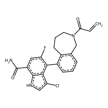 C=CC(=O)N1CCCc2c(cccc2-c2c(F)cc(C(N)=O)c3[nH]cc(Cl)c23)C1